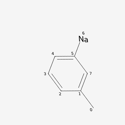 Cc1ccc[c]([Na])c1